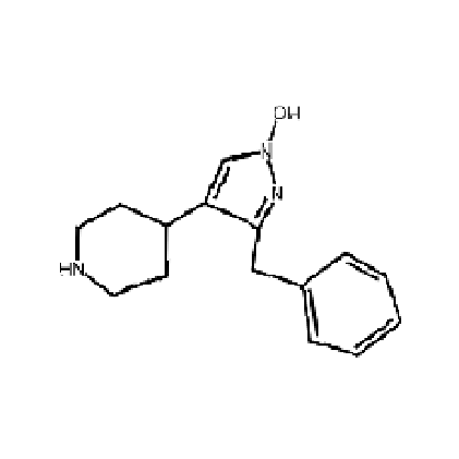 On1cc(C2CCNCC2)c(Cc2ccccc2)n1